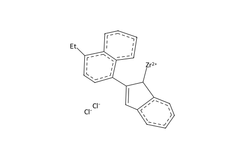 CCc1ccc(C2=Cc3ccccc3[CH]2[Zr+2])c2ccccc12.[Cl-].[Cl-]